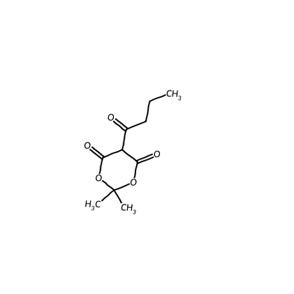 CCCC(=O)C1C(=O)OC(C)(C)OC1=O